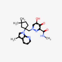 CNC(=O)c1nn(CC2(n3cc(C)c4cccnc43)CCC(C)(C)C2)cc(O)c1=O